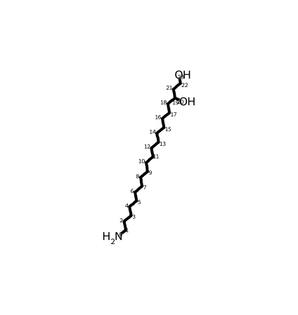 NCCCCCCCCCCCCCCCCCCC(O)CCO